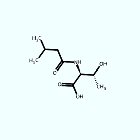 CC(C)CC(=O)N[C@H](C(=O)O)[C@@H](C)O